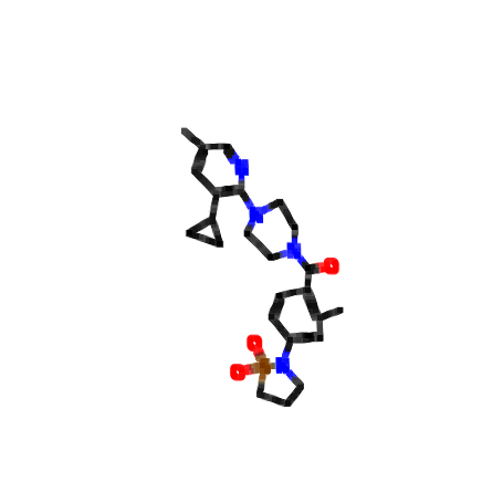 Cc1cnc(N2CCN(C(=O)c3ccc(N4CCCS4(=O)=O)cc3C)CC2)c(C2CC2)c1